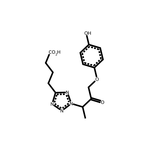 CC(C(=O)COc1ccc(O)cc1)n1nnc(CCCC(=O)O)n1